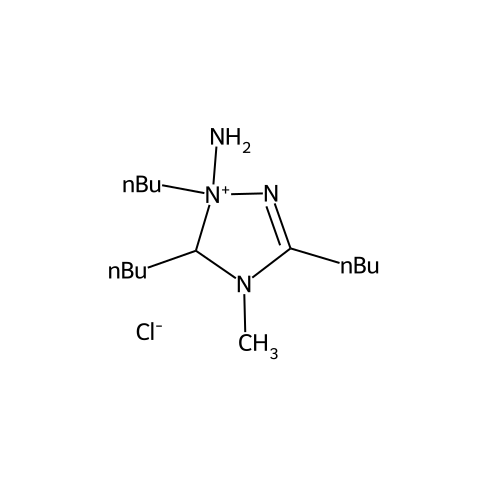 CCCCC1=N[N+](N)(CCCC)C(CCCC)N1C.[Cl-]